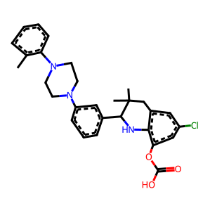 Cc1ccccc1N1CCN(c2cccc(C3Nc4c(cc(Cl)cc4OC(=O)O)CC3(C)C)c2)CC1